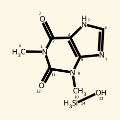 Cn1c(=O)c2[nH]cnc2n(C)c1=O.O[SiH3]